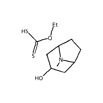 CCOC(=S)S.CN1C2CCC1CC(O)C2